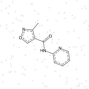 Cc1nocc1C(=O)Nc1ccccn1